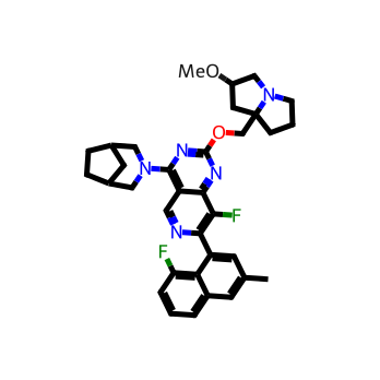 COC1CN2CCCC2(COc2nc(N3CC4CCC(C4)C3)c3cnc(-c4cc(C)cc5cccc(F)c45)c(F)c3n2)C1